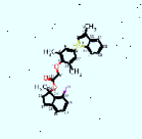 CC1=C[SH](c2cc(C)c(OCC(=O)OC3(C)CCc4cccc(I)c43)c(C)c2)c2ccccc21